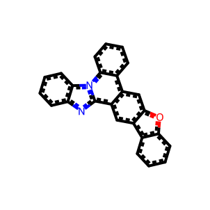 c1ccc2c(c1)nc1c3cc4c(cc3c3ccccc3n21)oc1ccccc14